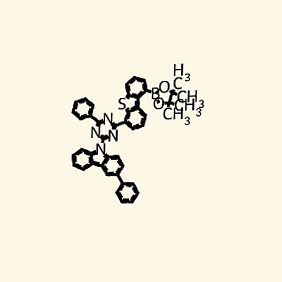 CC1(C)OB(c2cccc3sc4c(-c5nc(-c6ccccc6)nc(-n6c7ccccc7c7cc(-c8ccccc8)ccc76)n5)cccc4c23)OC1(C)C